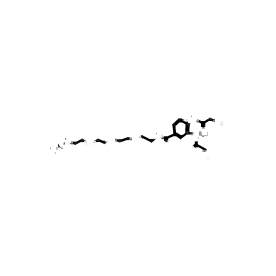 [N-]=[N+]=NCCOCCOCCOCCNC(=O)c1ccc(NC(=O)CBr)c(NC(=O)CBr)c1